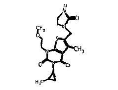 Cc1c(CN2CCNC2=O)sc2c1c(=O)n(C1CC1C)c(=O)n2CCOC(F)(F)F